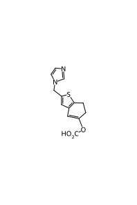 O=C(O)OC1=Cc2cc(Cn3ccnc3)sc2CC1